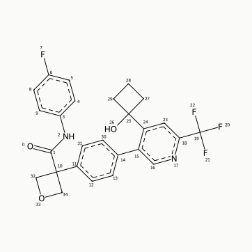 O=C(Nc1ccc(F)cc1)C1(c2ccc(-c3cnc(C(F)(F)F)cc3C3(O)CCC3)cc2)COC1